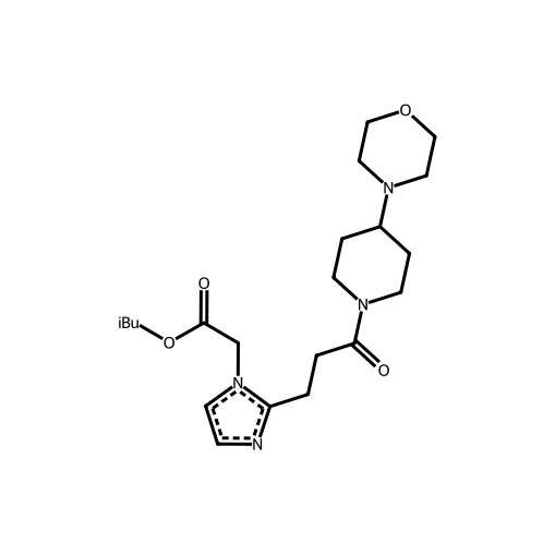 CCC(C)OC(=O)Cn1ccnc1CCC(=O)N1CCC(N2CCOCC2)CC1